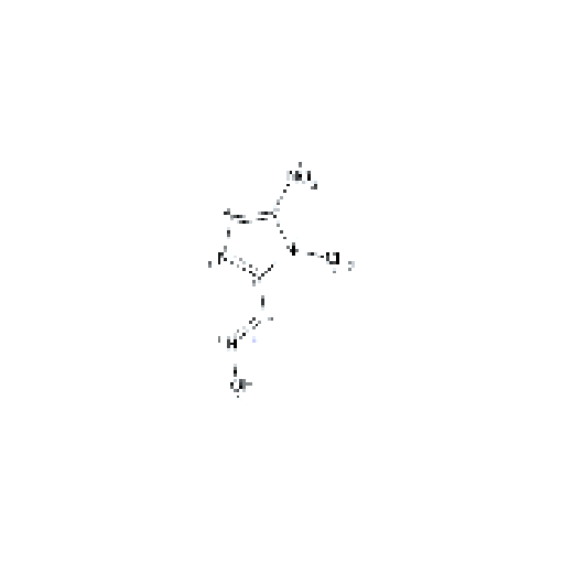 Cn1c([N+](=O)[O-])cnc1/C=N/O